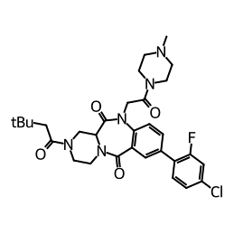 CN1CCN(C(=O)CN2C(=O)C3CN(C(=O)CC(C)(C)C)CCN3C(=O)c3cc(-c4ccc(Cl)cc4F)ccc32)CC1